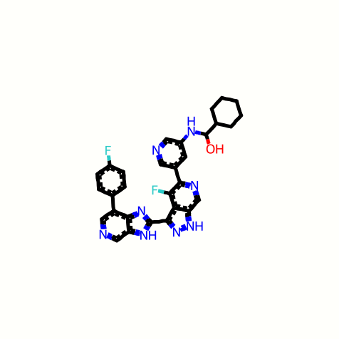 OC(Nc1cncc(-c2ncc3[nH]nc(-c4nc5c(-c6ccc(F)cc6)cncc5[nH]4)c3c2F)c1)C1CCCCC1